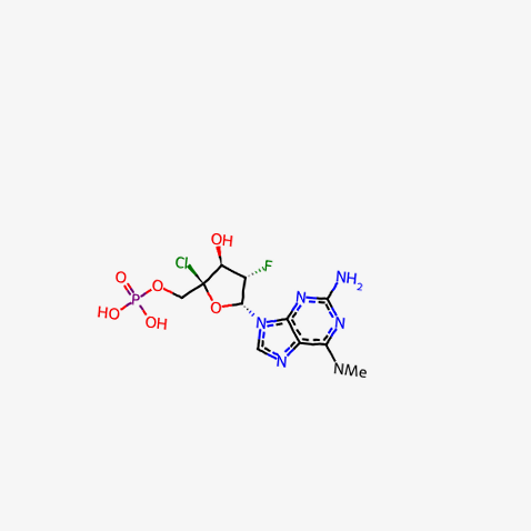 CNc1nc(N)nc2c1ncn2[C@@H]1O[C@](Cl)(COP(=O)(O)O)[C@@H](O)[C@@H]1F